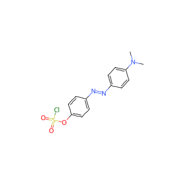 CN(C)c1ccc(N=Nc2ccc(OS(=O)(=O)Cl)cc2)cc1